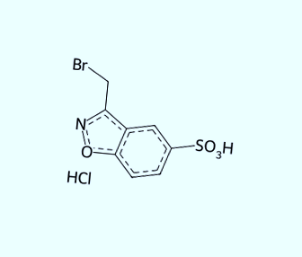 Cl.O=S(=O)(O)c1ccc2onc(CBr)c2c1